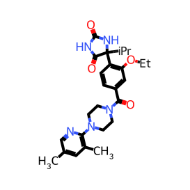 CCOc1cc(C(=O)N2CCN(c3ncc(C)cc3C)CC2)ccc1C1(C(C)C)NC(=O)NC1=O